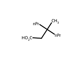 CCCC(C)(CCC)CC(=O)O